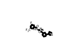 O=C(Nc1nnc(-c2cccc(-c3ccsc3)c2)o1)c1cc(F)cc(C(F)(F)F)c1